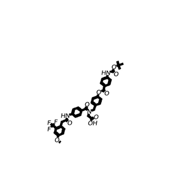 COc1ccc(CC(=O)Nc2ccc(C(=O)N(CC(=O)O)Cc3ccc(OC(=O)c4ccc(NC(=O)OC(C)(C)C)cc4)cc3)cc2)c(C(F)(F)F)c1